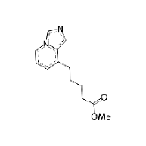 COC(=O)CCCCc1cccn2cncc12